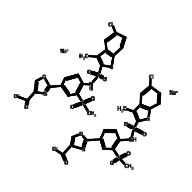 Cc1c(S(=O)(=O)Nc2ccc(-c3nc(C(=O)[O-])co3)cc2S(C)(=O)=O)sc2ccc(Cl)cc12.Cc1c(S(=O)(=O)Nc2ccc(-c3nc(C(=O)[O-])co3)cc2S(C)(=O)=O)sc2ccc(Cl)cc12.[Na+].[Na+]